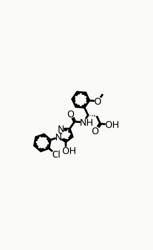 COc1ccccc1[C@H](CC(=O)O)NC(=O)c1cc(O)n(-c2ccccc2Cl)n1